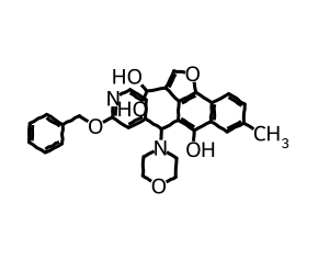 Cc1ccc2c(c1)c(O)c(C(c1ccnc(OCc3ccccc3)c1)N1CCOCC1)c1c(C(O)O)coc12